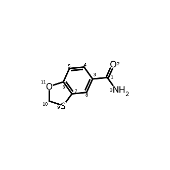 NC(=O)c1ccc2c(c1)SCO2